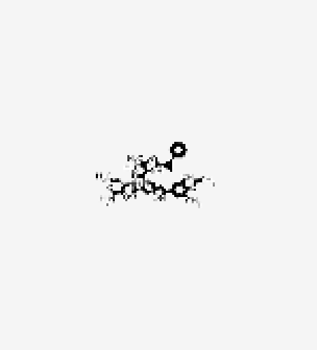 CCC[C@H](NC(=O)[C@@H]1C[C@]2(CC(c3cc(C)c(OCC)c(C)c3)=NO2)CN1C(=O)[C@@H](NC(=O)[C@@H]1C[C@H]1c1ccccc1)C(C)(C)C)C(=O)C(N)=O